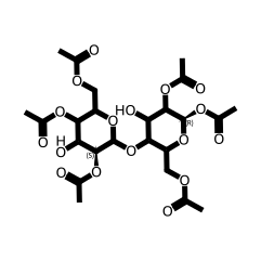 CC(=O)OCC1O[C@H](OC(C)=O)C(OC(C)=O)C(O)C1OC1OC(COC(C)=O)C(OC(C)=O)C(O)[C@@H]1OC(C)=O